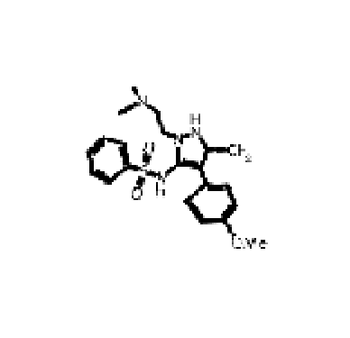 COc1ccc(C2=C(NS(=O)(=O)c3ccccc3)N(CCN(C)C)NC2C(F)(F)F)cc1